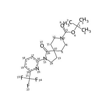 CC(C)(C)OC(=O)N1CCC2(CC1)CCN(c1cccc(C(F)(F)F)n1)C2=O